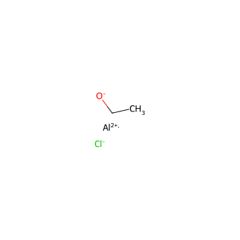 CC[O-].[Al+2].[Cl-]